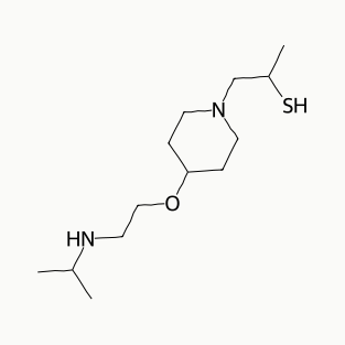 CC(S)CN1CCC(OCCNC(C)C)CC1